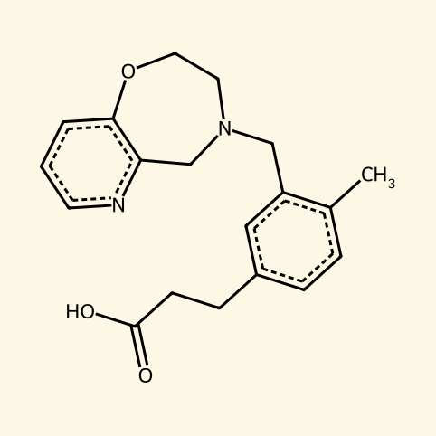 Cc1ccc(CCC(=O)O)cc1CN1CCOc2cccnc2C1